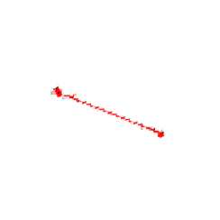 O=C(CCCC[C@@H]1SC[C@@H]2NC(=O)N[C@@H]21)NCCOCCOCCOCCOCCOCCOCCOCCOCCOCCOCCOCCNC(=O)CCN1C(=O)C=CC1=O